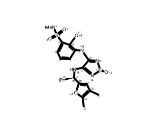 CNS(=O)(=O)c1cccc(Nc2n[s+]([O-])nc2N[C@@H](c2cc(C)c(C)o2)C(C)C)c1O